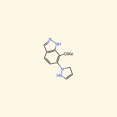 COc1c(N2CC=CN2)ccc2cn[nH]c12